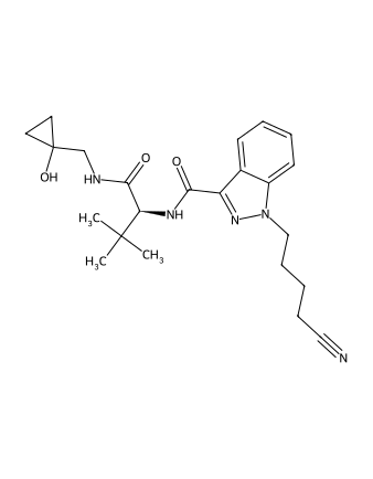 CC(C)(C)[C@H](NC(=O)c1nn(CCCCC#N)c2ccccc12)C(=O)NCC1(O)CC1